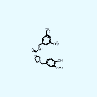 COc1cc(CN2CC[C@H](C(=O)NCc3cc(C(F)(F)F)cc(C(F)(F)F)c3)C2)ccc1O